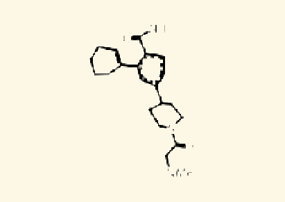 CNCC(=O)N1CCC(c2ccc(C(N)=O)c(C3=CCCCC3)c2)CC1